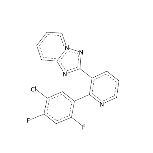 Fc1cc(F)c(-c2ncccc2-c2nc3ccccn3n2)cc1Cl